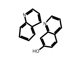 Oc1ccc2cccnc2c1.c1ccc2ncccc2c1